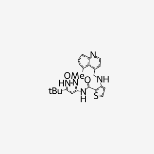 COc1cccc2nccc(CNc3ccsc3C(=O)Nc3cc(C(C)(C)C)[nH]n3)c12